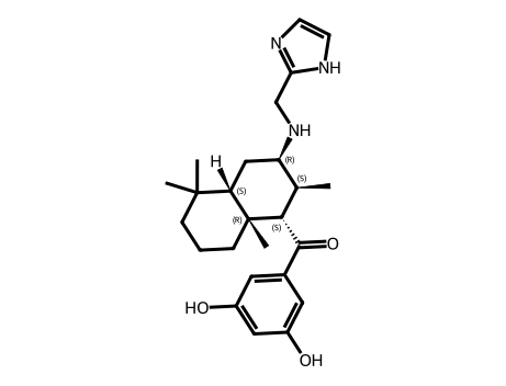 C[C@@H]1[C@H](NCc2ncc[nH]2)C[C@H]2C(C)(C)CCC[C@@]2(C)[C@H]1C(=O)c1cc(O)cc(O)c1